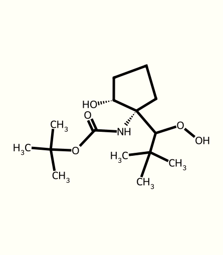 CC(C)(C)OC(=O)N[C@@]1(C(OO)C(C)(C)C)CCC[C@H]1O